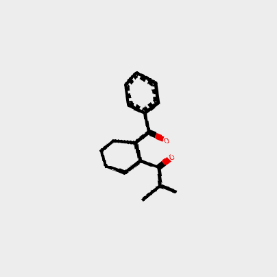 CC(C)C(=O)C1CCCCC1C(=O)c1ccccc1